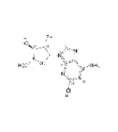 C[C@H]1O[C@@H](n2cnc3c(N)nc(Cl)nc32)[C@@H](F)[C@@H]1O